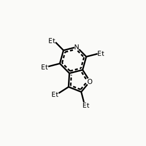 CCc1nc(CC)c2oc(CC)c(CC)c2c1CC